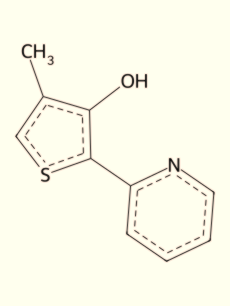 Cc1csc(-c2ccccn2)c1O